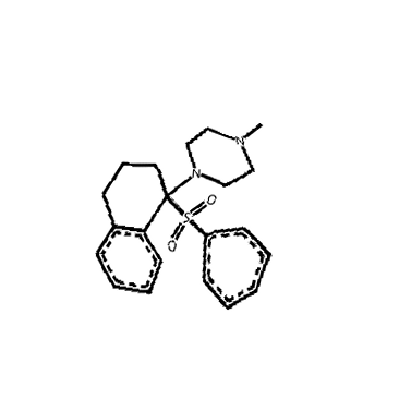 CN1CCN(C2(S(=O)(=O)c3ccccc3)CCCc3ccccc32)CC1